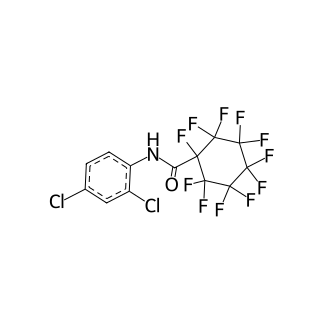 O=C(Nc1ccc(Cl)cc1Cl)C1(F)C(F)(F)C(F)(F)C(F)(F)C(F)(F)C1(F)F